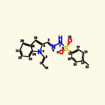 CC=Cn1c(C=NNS(=O)(=O)c2ccc(C)cc2)cc2ccccc21